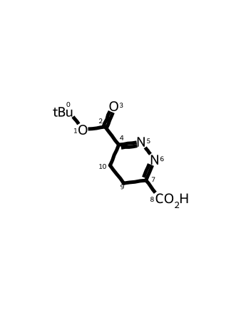 CC(C)(C)OC(=O)C1=NN=C(C(=O)O)CC1